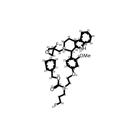 COc1cc(OCCN(CCCF)C(=O)OCc2ccccc2)ccc1C1c2[nH]c3ccccc3c2CCN1CC1(F)COC1